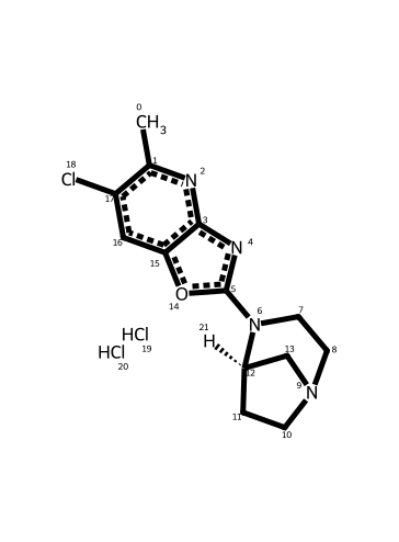 Cc1nc2nc(N3CCN4CC[C@@H]3C4)oc2cc1Cl.Cl.Cl